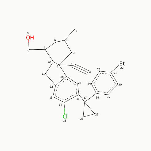 C#CC12CC(C)CC(CO)C1Cc1cc(Cl)c(C3(c4ccc(CC)cc4)CC3)cc12